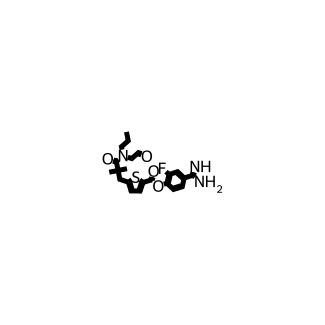 CCCN(CC=O)C(=O)C(C)(C)Cc1ccc(C(=O)Oc2ccc(C(=N)N)cc2F)s1